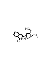 CN1CCN(c2cc3ccccc3c(=O)[nH]2)C[C@H]1CO